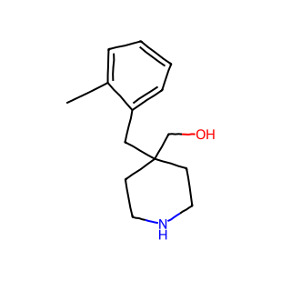 Cc1ccccc1CC1(CO)CCNCC1